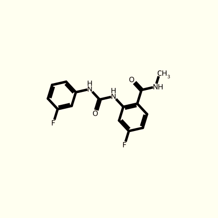 CNC(=O)c1ccc(F)cc1NC(=O)Nc1cccc(F)c1